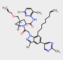 C=CCCCCCCc1cc(-c2cnc(C)nc2)cc2c(C(C)=O)nn(CC(=O)N3[C@H](C(=O)Nc4nc(Br)ccc4C)C[C@@]4(COCC=C)C[C@@H]34)c12